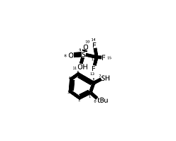 CC(C)(C)c1ccccc1S.O=S(=O)(O)C(F)(F)F